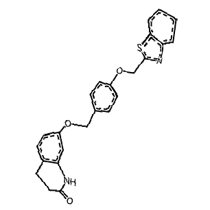 O=C1CCc2ccc(OCc3ccc(OCc4nc5ccccc5s4)cc3)cc2N1